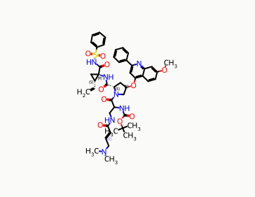 C=C[C@@H]1C[C@]1(NC(=O)[C@@H]1C[C@@H](Oc2cc(-c3ccccc3)nc3cc(OC)ccc23)CN1C(=O)C(CNC(=O)/C=C/CN(C)C)NC(=O)OC(C)(C)C)C(=O)NS(=O)(=O)c1ccccc1